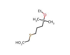 CCO[Si](C)(C)CCCSCC(=O)O